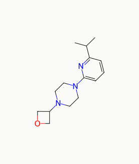 CC(C)c1cccc(N2CCN(C3COC3)CC2)n1